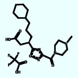 CN1CCN(C(=O)c2noc([C@H](CCCC3CCCCC3)CC(=O)O)n2)CC1.O=C(O)C(F)(F)F